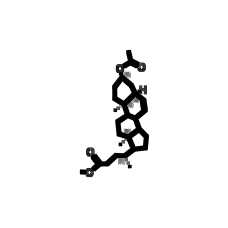 COC(=O)CC[C@@H](C)C1CCC2C3C=C[C@@H]4C[C@H](OC(C)=O)CC[C@]4(C)C3CC[C@@]21C